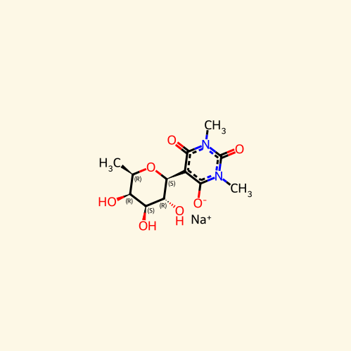 C[C@H]1O[C@@H](c2c([O-])n(C)c(=O)n(C)c2=O)[C@H](O)[C@@H](O)[C@H]1O.[Na+]